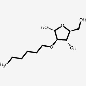 CCCCCCO[C@@H]1[C@@H](O)[C@H](CO)O[C@H]1O